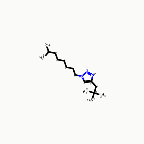 CC(C)CCCCCCn1cc(CC(C)(C)C)nn1